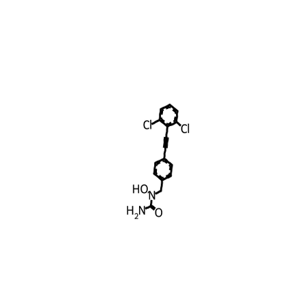 NC(=O)N(O)Cc1ccc(C#Cc2c(Cl)cccc2Cl)cc1